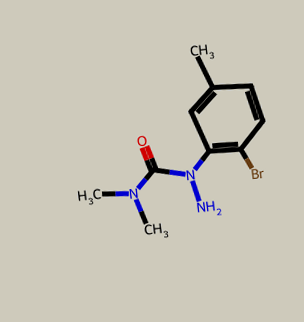 Cc1ccc(Br)c(N(N)C(=O)N(C)C)c1